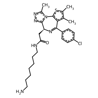 Cc1sc2c(c1C)C(c1ccc(Cl)cc1)=N[C@@H](CC(=O)NCCCCCCCN)c1nnc(C)n1-2